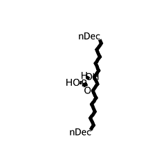 CCCCCCCCCCCCCCCCCCCCCCCCCCCCCCCCC.O=[PH](O)O